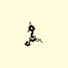 Cc1cc(N2CCCC2)nc(/C=C/c2ccc(F)cc2F)n1